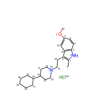 COc1ccc2[nH]c(C)c(CCN3CCC(C4CCCCC4)CC3)c2c1.Cl